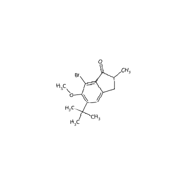 COc1c(C(C)(C)C)cc2c(c1Br)C(=O)C(C)C2